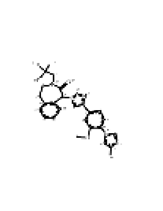 COc1cc(-c2cn(C3C(=O)N(CC(F)(F)F)CCc4ccccc43)nn2)ccc1-n1cnc(C)c1